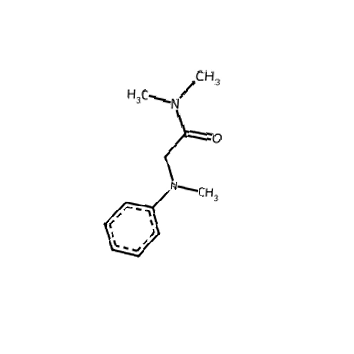 CN(C)C(=O)CN(C)c1ccccc1